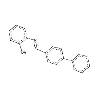 Oc1ccccc1/N=C/c1ccc(-c2ccccc2)cc1